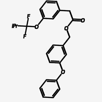 CC(C)C(F)(F)Oc1cccc(CC(=O)OCc2cccc(Oc3ccccc3)c2)c1